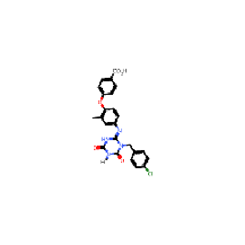 CCn1c(=O)[nH]/c(=N\c2ccc(Oc3ccc(C(=O)O)cc3)c(C)c2)n(Cc2ccc(Cl)cc2)c1=O